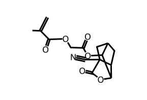 C=C(C)C(=O)OCC(=O)OC1C2CC3C1OC(=O)C3(C#N)C2